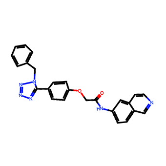 O=C(COc1ccc(-c2nnnn2Cc2ccccc2)cc1)Nc1ccc2cnccc2c1